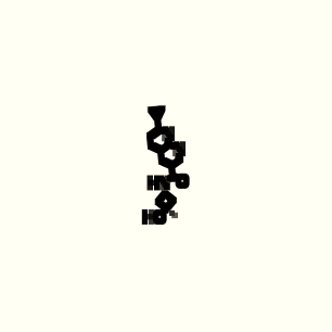 C[C@]1(O)C[C@H](NC(=O)c2cnc3nc(C4CC4)ccc3c2)C1